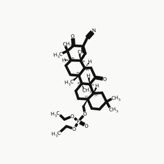 CCOP(=O)(OCC)OC[C@]12CCC(C)(C)C[C@H]1[C@H]1C(=O)C[C@@H]3[C@@]4(C)C=C(C#N)C(=O)C(C)(C)[C@@H]4CC[C@@]3(C)[C@]1(C)CC2